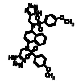 COc1ccc(S(=O)(=O)N(Cc2nnn[nH]2)c2ccc(N(Cc3nnn[nH]3)S(=O)(=O)c3ccc(OC)cc3)c3ccccc23)cc1